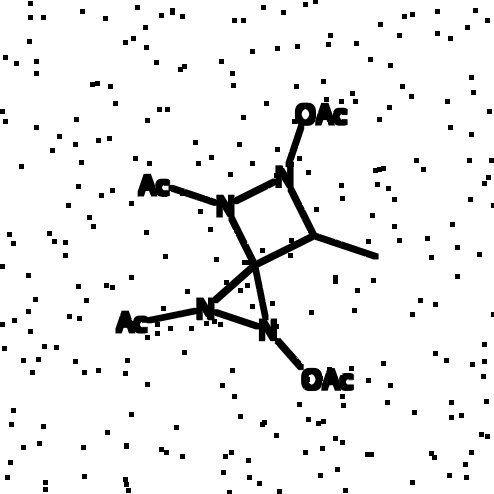 CC(=O)ON1C(C)C2(N(OC(C)=O)N2C(C)=O)N1C(C)=O